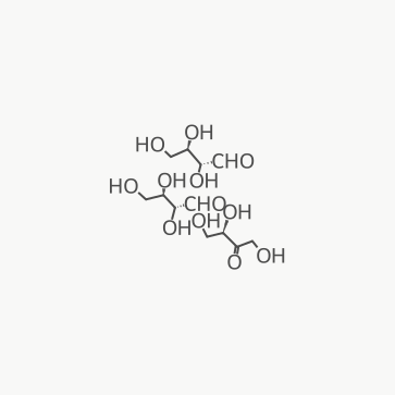 O=C(CO)[C@H](O)CO.O=C[C@H](O)[C@H](O)CO.O=C[C@H](O)[C@H](O)CO